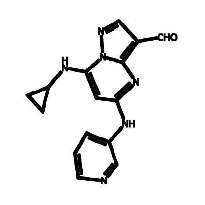 O=Cc1cnn2c(NC3CC3)cc(Nc3cccnc3)nc12